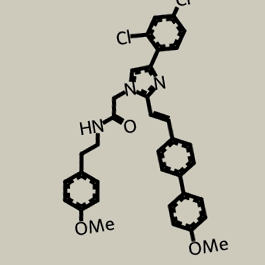 COc1ccc(CCNC(=O)Cn2cc(-c3ccc(Cl)cc3Cl)nc2C=Cc2ccc(-c3ccc(OC)cc3)cc2)cc1